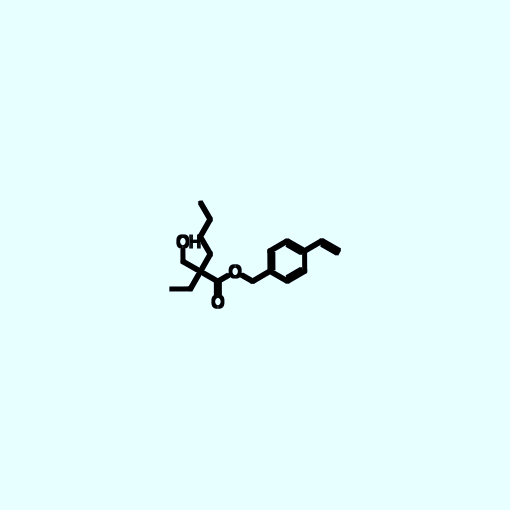 C=Cc1ccc(COC(=O)C(CC)(CO)CCCC)cc1